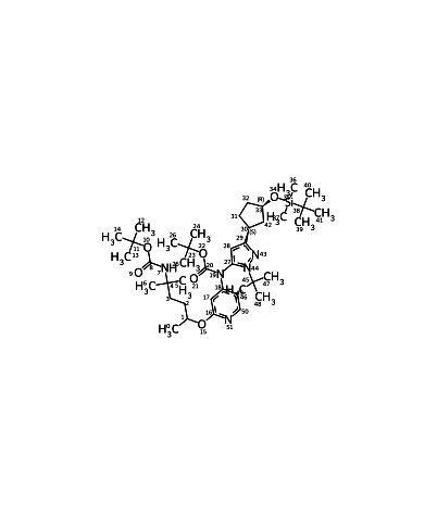 CC(CCC(C)(C)NC(=O)OC(C)(C)C)Oc1cc(N(C(=O)OC(C)(C)C)c2cc([C@H]3CC[C@@H](O[Si](C)(C)C(C)(C)C)C3)nn2C(C)(C)C)ccn1